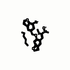 CCCCCC.CS/C(=C\c1cc2ccoc2cc1OCc1cc(Br)c2occc2c1)[S+](C)[O-]